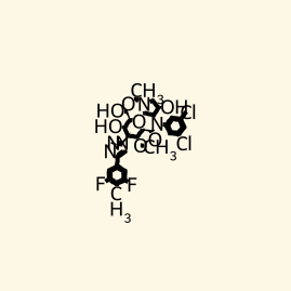 CO[C@@H]1[C@@H](n2cc(-c3cc(F)c(C)c(F)c3)nn2)[C@@H](O)[C@@H](CO)O[C@H]1C(=O)N(c1cc(Cl)cc(Cl)c1)[C@@H]1CN(C(C)=O)C[C@H]1O